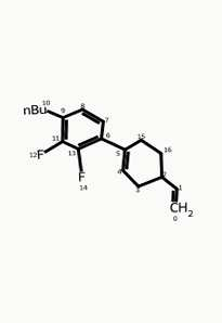 C=CC1CC=C(c2ccc(CCCC)c(F)c2F)CC1